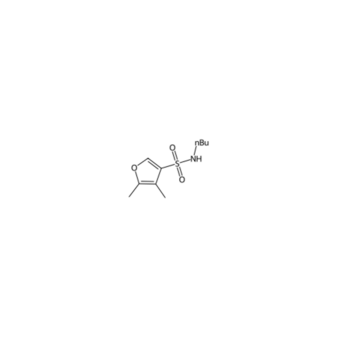 CCCCNS(=O)(=O)c1coc(C)c1C